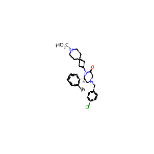 CC(C)c1ccccc1[C@H]1CN(Cc2ccc(Cl)cc2)CC(=O)N1C1CC2(CCN(C(=O)O)CC2)C1